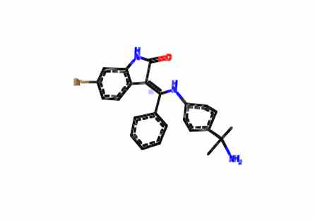 CC(C)(N)c1ccc(N/C(=C2\C(=O)Nc3cc(Br)ccc32)c2ccccc2)cc1